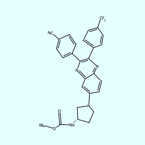 CC(C)(C)OC(=O)N[C@H]1CCN(c2ccc3nc(-c4ccc(C(F)(F)F)cc4)c(-c4ccc(C#N)cc4)nc3c2)C1